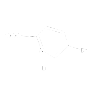 O=C([O-])c1ccc(Br)cn1.[Li+]